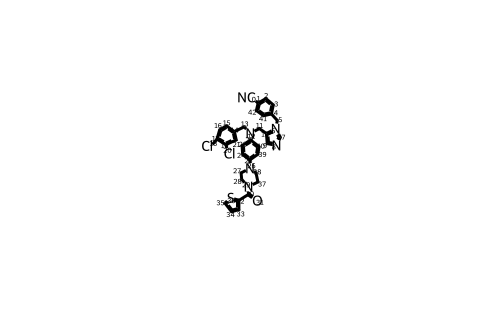 N#Cc1ccc(Cn2cncc2CN(Cc2ccc(Cl)c(Cl)c2)c2ccc(N3CCN(C(=O)c4cccs4)CC3)cc2)cc1